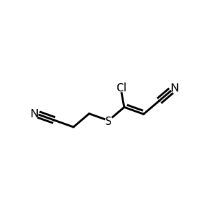 N#C/C=C(\Cl)SCCC#N